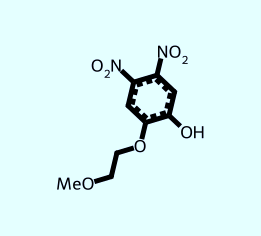 COCCOc1cc([N+](=O)[O-])c([N+](=O)[O-])cc1O